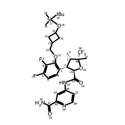 C[C@H]1[C@@H](c2ccc(F)c(F)c2OCC2CC(O[Si](C)(C)C(C)(C)C)C2)[C@H](C(=O)Nc2ccnc(C(N)=O)c2)O[C@@]1(C)C(F)(F)F